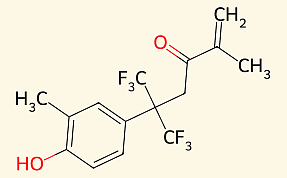 C=C(C)C(=O)CC(c1ccc(O)c(C)c1)(C(F)(F)F)C(F)(F)F